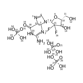 Nc1nc2c(ncn2[C@@H]2O[C@H](CO)[C@@H](O)C2(F)F)c(=O)[nH]1.O=P(O)(O)O.O=P(O)(O)O.O=P(O)(O)O